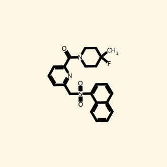 CC1(F)CCN(C(=O)c2cccc(CS(=O)(=O)c3cccc4ccccc34)n2)CC1